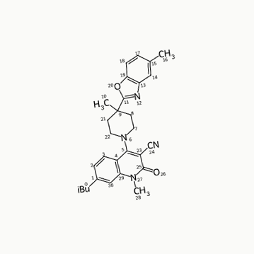 CCC(C)c1ccc2c(N3CCC(C)(c4nc5cc(C)ccc5o4)CC3)c(C#N)c(=O)n(C)c2c1